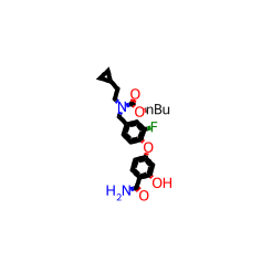 CCCCOC(=O)N(CCC1CC1)Cc1ccc(Oc2ccc(C(N)=O)c(O)c2)c(F)c1